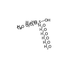 O.O.O.O.O.O.O.O.O.O.O=S(=O)(O)O.[Cu]